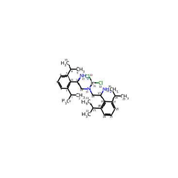 CC(C)c1cccc(C(C)C)c1C(N)C[N](CC(N)c1c(C(C)C)cccc1C(C)C)[Ir]([Cl])[Cl]